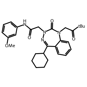 COc1cccc(NC(=O)CN2N=C(C3CCCCC3)c3ccccc3N(CC(=O)C(C)(C)C)C2=O)c1